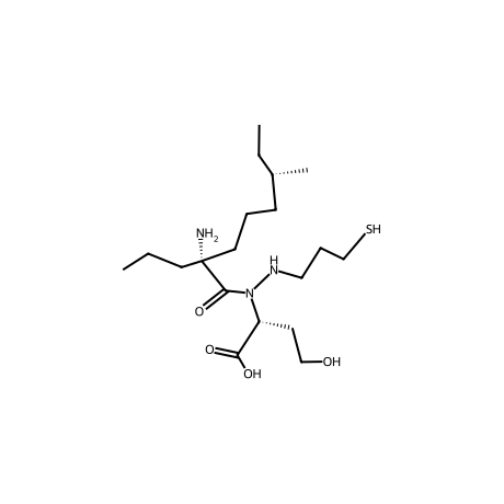 CCC[C@@](N)(CCC[C@@H](C)CC)C(=O)N(NCCCS)[C@H](CCO)C(=O)O